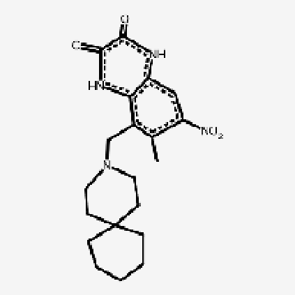 Cc1c([N+](=O)[O-])cc2[nH]c(=O)c(=O)[nH]c2c1CN1CCC2(CCCCC2)CC1